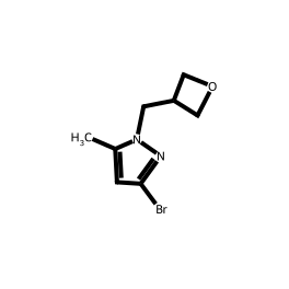 Cc1cc(Br)nn1CC1COC1